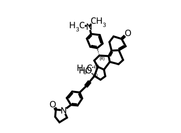 CN(C)c1ccc([C@H]2C[C@@]3(C)C(CC[C@@]3(O)C#Cc3ccc(N4CCCC4=O)cc3)C3CCC4=CC(=O)CCC4=C32)cc1